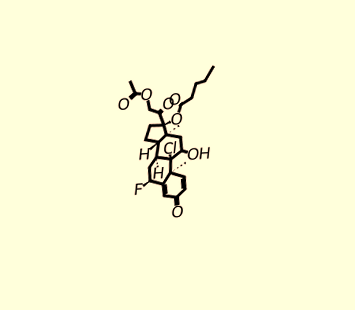 CCCCC(=O)O[C@]1(C(=O)COC(C)=O)CC[C@H]2[C@@H]3C[C@H](F)C4=CC(=O)C=C[C@]4(C)[C@@]3(Cl)C(O)C[C@@]21C